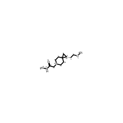 CCOCC[C@H]1CC12CCN(CC(=O)NC(C)C)CC2